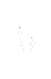 CC(=O)COc1ccc(C2=C(C3=CC=C(O[C@H]4CCN(CCCF)C4)CC=C3)c3ccc(OF)cc3CCC2)cc1C